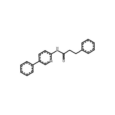 O=C(CCc1ccccc1)Nc1ccc(-c2ccccc2)cn1